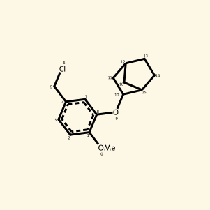 COc1ccc(CCl)cc1OC1CC2CCC1C2